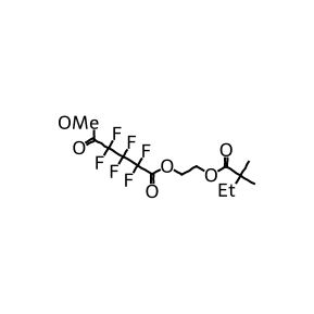 CCC(C)(C)C(=O)OCCOC(=O)C(F)(F)C(F)(F)C(F)(F)C(=O)OC